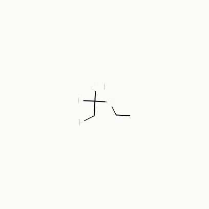 CCOC(O)(F)CF